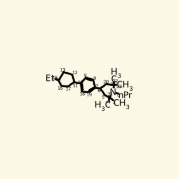 CCCN1C(C)(C)CC(c2ccc(C3CCC(CC)CC3)cc2)CC1(C)C